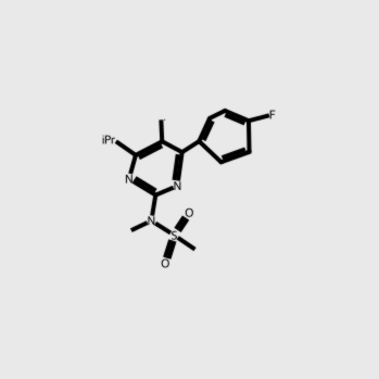 [CH2]c1c(-c2ccc(F)cc2)nc(N(C)S(C)(=O)=O)nc1C(C)C